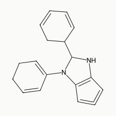 C1=CC2=C(C=1)N(C1=CCCC=C1)C(C1C=CC=CC1)N2